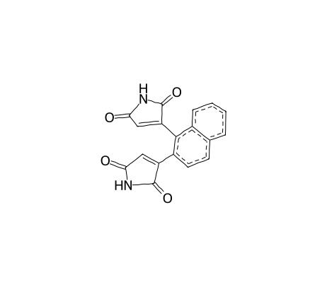 O=C1C=C(c2ccc3ccccc3c2C2=CC(=O)NC2=O)C(=O)N1